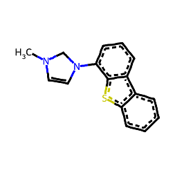 CN1C=CN(c2cccc3c2sc2ccccc23)C1